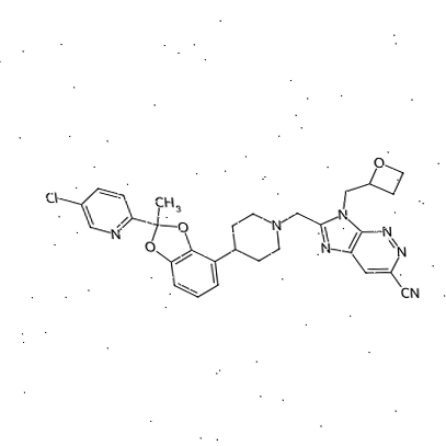 CC1(c2ccc(Cl)cn2)Oc2cccc(C3CCN(Cc4nc5cc(C#N)nnc5n4CC4CCO4)CC3)c2O1